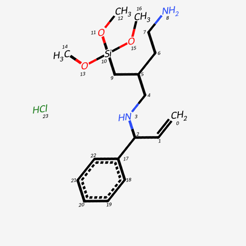 C=CC(NCC(CCN)C[Si](OC)(OC)OC)c1ccccc1.Cl